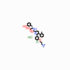 Cc1ccccc1-c1ccc(C(=O)N[C@@H](Cc2cccc(O)c2)C(=O)O)nc1-c1ccc(Cl)c(OCCCN(C)C)c1.Cl